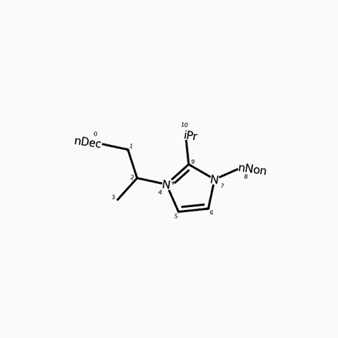 CCCCCCCCCCCC(C)[n+]1ccn(CCCCCCCCC)c1C(C)C